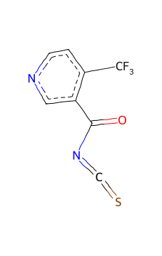 O=C(N=C=S)c1cnccc1C(F)(F)F